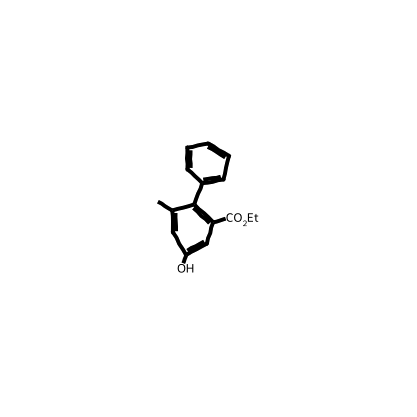 CCOC(=O)c1cc(O)cc(C)c1-c1ccccc1